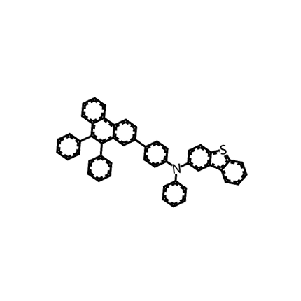 c1ccc(-c2c(-c3ccccc3)c3cc(-c4ccc(N(c5ccccc5)c5ccc6sc7ccccc7c6c5)cc4)ccc3c3ccccc23)cc1